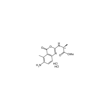 COC(=O)[C@H](C)Nc1nc2ccc(N)c(C)c2c(=O)o1.Cl.Cl